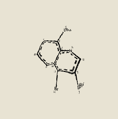 CC(C)(C)c1cnc2c(C(C)(C)C)cccc2c1Br